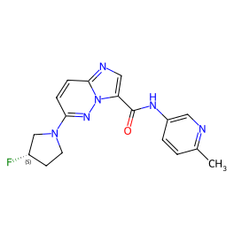 Cc1ccc(NC(=O)c2cnc3ccc(N4CC[C@H](F)C4)nn23)cn1